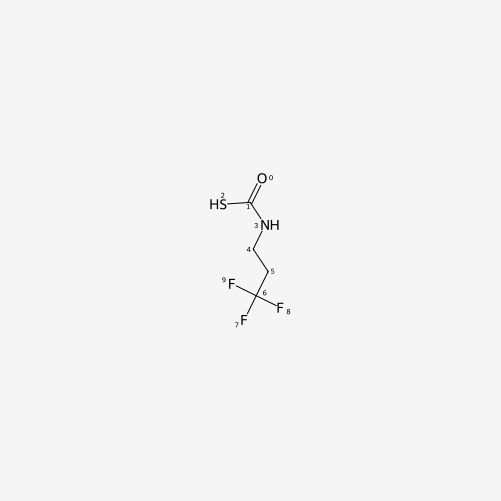 O=C(S)NCCC(F)(F)F